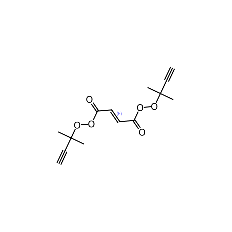 C#CC(C)(C)OOC(=O)/C=C/C(=O)OOC(C)(C)C#C